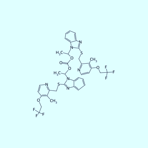 Cc1c(OCC(F)(F)F)ccnc1CSc1nc2ccccc2n1C(C)OC(=O)OC(C)n1c(SCc2nccc(OCC(F)(F)F)c2C)nc2ccccc21